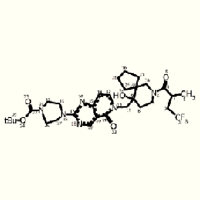 CC(CC(F)(F)F)C(=O)N1CCC(O)(Cn2ccc3nc(N4CCN(C(=O)OC(C)(C)C)CC4)ncc3c2=O)C2(CCCC2)C1